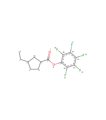 [CH2]CC1C[CH]C(C(=O)Oc2c(F)c(F)c(F)c(F)c2F)C1